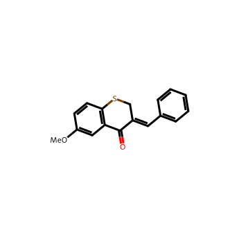 COc1ccc2c(c1)C(=O)C(=Cc1ccccc1)CS2